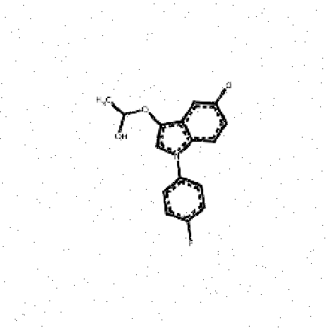 CC(O)Oc1cn(-c2ccc(F)cc2)c2ccc(Cl)cc12